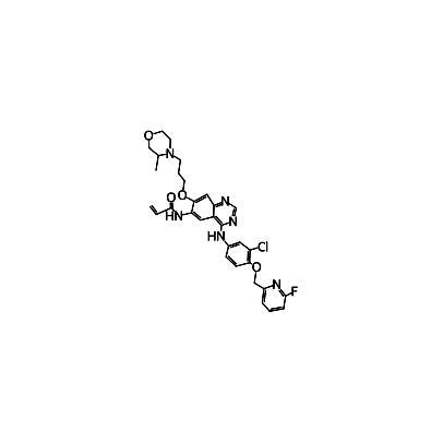 C=CC(=O)Nc1cc2c(Nc3ccc(OCc4cccc(F)n4)c(Cl)c3)ncnc2cc1OCCCN1CCOCC1C